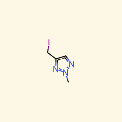 Cn1ncc(CI)n1